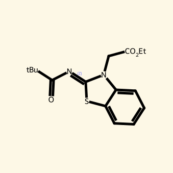 CCOC(=O)Cn1/c(=N/C(=O)C(C)(C)C)sc2ccccc21